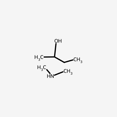 CCC(C)O.CNC